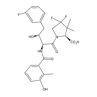 Cc1c(O)cccc1C(=O)N[C@H](C(=O)N1CC(F)(F)C(C)(C)[C@H]1C(=O)O)[C@@H](O)Cc1cccc(F)c1